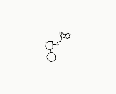 c1ccc2c(CCNC3CCCCCC(C4CCCCCCCC4)C3)c[nH]c2c1